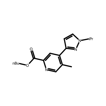 CCCCOC(=O)c1cc(-c2ccn(C(C)C)n2)c(C)cn1